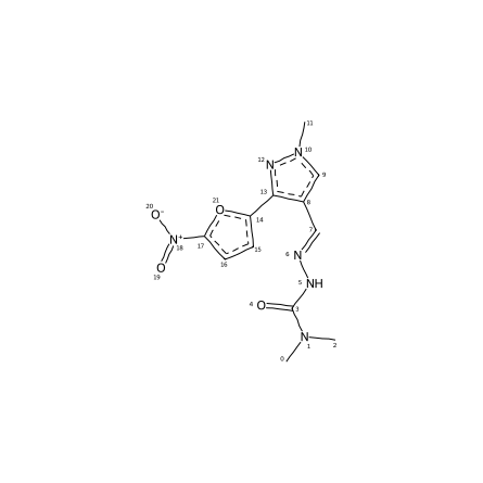 CN(C)C(=O)N/N=C/c1cn(C)nc1-c1ccc([N+](=O)[O-])o1